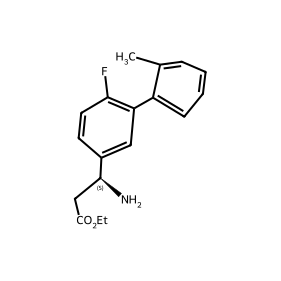 CCOC(=O)C[C@H](N)c1ccc(F)c(-c2ccccc2C)c1